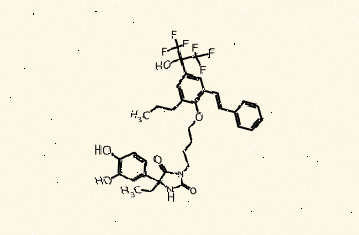 CCCc1cc(C(O)(C(F)(F)F)C(F)(F)F)cc(/C=C/c2ccccc2)c1OCCCCN1C(=O)NC(CC)(c2ccc(O)c(O)c2)C1=O